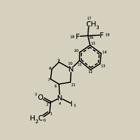 C=CC(=O)N(I)C1CCCN(c2cccc(C(C)(F)F)c2)C1